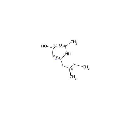 CC[C@@H](C)C/C(=C/C(=O)O)NC(C)=O